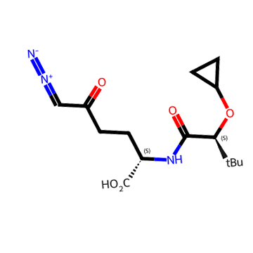 CC(C)(C)[C@H](OC1CC1)C(=O)N[C@@H](CCC(=O)C=[N+]=[N-])C(=O)O